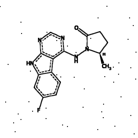 C[C@@H]1CCC(=O)N1Nc1ncnc2[nH]c3cc(F)ccc3c12